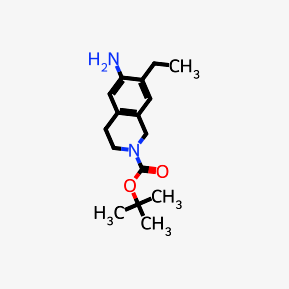 CCc1cc2c(cc1N)CCN(C(=O)OC(C)(C)C)C2